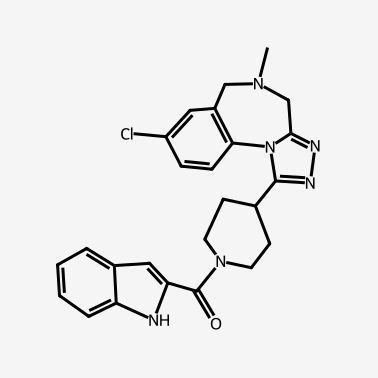 CN1Cc2cc(Cl)ccc2-n2c(nnc2C2CCN(C(=O)c3cc4ccccc4[nH]3)CC2)C1